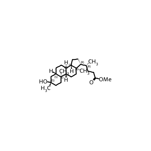 COC(=O)CC[C@@H](C)[C@H]1CC[C@H]2[C@@H]3CC[C@H]4C[C@@](C)(O)CC[C@]4(C)[C@H]3CC[C@]12C